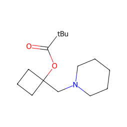 CC(C)(C)C(=O)OC1(CN2CCCCC2)CCC1